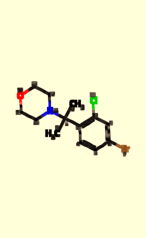 CC(C)(c1ccc(Br)cc1Cl)N1CCOCC1